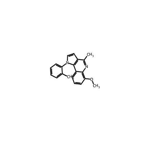 COc1cccc2c1nc(C)c1ccn(-c3ccccc3C)c12